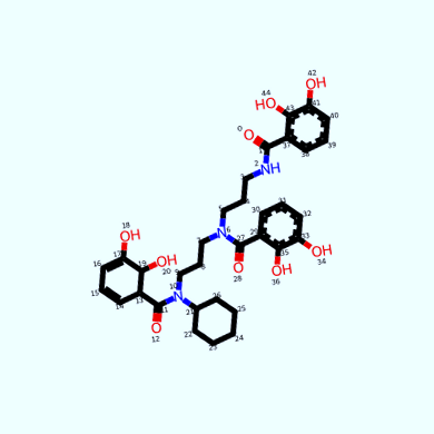 O=C(NCCCN(CCCN(C(=O)C1C=CC=C(O)C1O)C1CCCCC1)C(=O)c1cccc(O)c1O)c1cccc(O)c1O